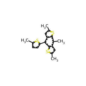 Cc1ccc(-c2c3cc(C)sc3c(C)c3cc(C)sc23)s1